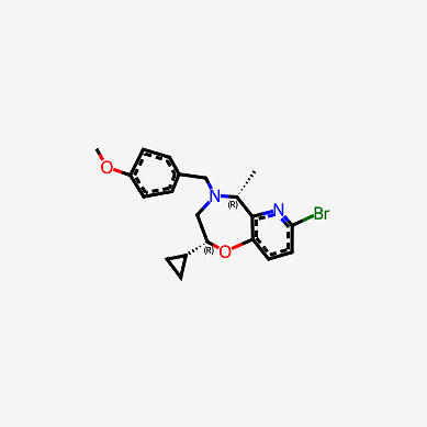 COc1ccc(CN2C[C@@H](C3CC3)Oc3ccc(Br)nc3[C@H]2C)cc1